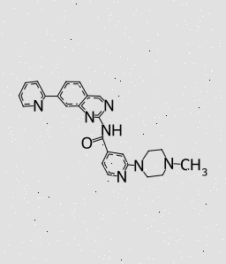 CN1CCN(c2cc(C(=O)Nc3ncc4ccc(-c5ccccn5)cc4n3)ccn2)CC1